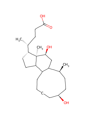 C[C@H](CCC(=O)O)[C@H]1CCC2C3CCCC[C@H](O)CC[C@H](C)C3C[C@H](O)[C@@]21C